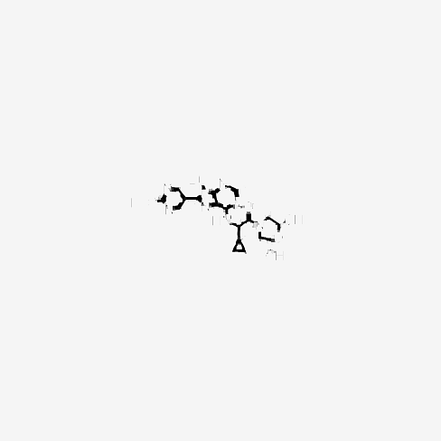 CCn1c(-c2cnc(C)nc2)nc2c(NC(C(=O)N3C[C@@H](C)O[C@@H](C)C3)C3CC3)ncnc21